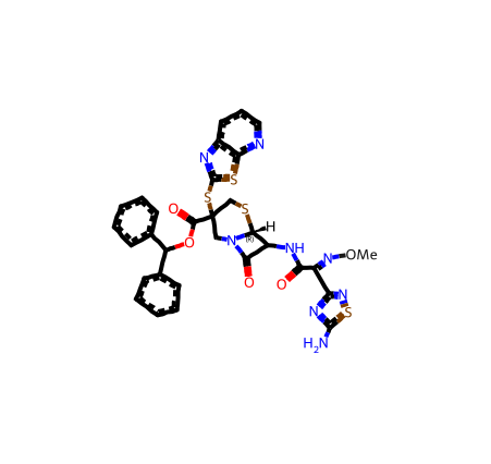 CON=C(C(=O)NC1C(=O)N2CC(Sc3nc4cccnc4s3)(C(=O)OC(c3ccccc3)c3ccccc3)CS[C@H]12)c1nsc(N)n1